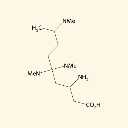 CNC(C)CCC(CC(N)CC(=O)O)(NC)NC